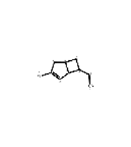 CCC1=CC2C(CC#N)CC2C1